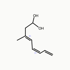 C=C/C=C\C=C(/C)CC(O)O